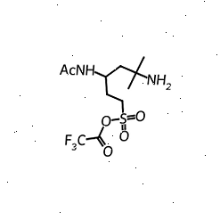 CC(=O)NC(CCS(=O)(=O)OC(=O)C(F)(F)F)CC(C)(C)N